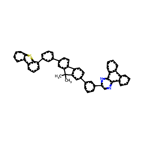 CC1(C)c2cc(-c3cccc(-c4cnc5c6ccccc6c6ccccc6c5n4)c3)ccc2-c2ccc(-c3cccc(-c4cccc5c4sc4ccccc45)c3)cc21